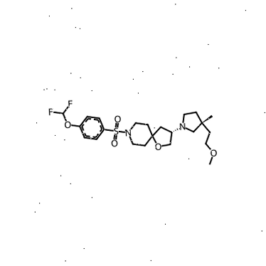 COCC[C@@]1(C)CCN([C@@H]2COC3(CCN(S(=O)(=O)c4ccc(OC(F)F)cc4)CC3)C2)C1